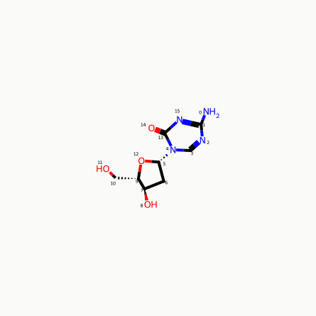 Nc1ncn([C@@H]2C[C@@H](O)[C@H](CO)O2)c(=O)n1